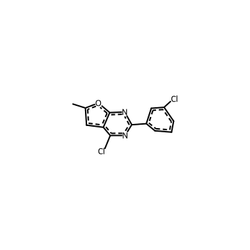 Cc1cc2c(Cl)nc(-c3cccc(Cl)c3)nc2o1